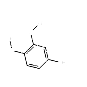 [CH2]c1ccc(OC(C)C)c(OC(F)(F)F)c1